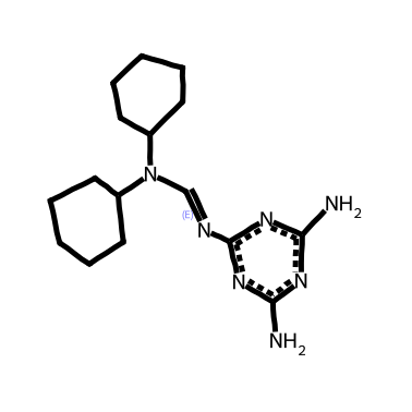 Nc1nc(N)nc(/N=C/N(C2CCCCC2)C2CCCCC2)n1